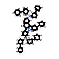 c1ccc(-c2cccc(N(c3cccc(-c4ccccc4)c3)c3ccc4cc5c6ccc(N(c7cccc(-c8ccccc8)c7)c7cccc(-c8ccccc8)c7)cc6n6c7ccc(-c8ccccc8)cc7c(c4c3)c56)c2)cc1